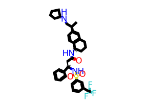 CC(CNC1CCCC1)c1ccc2c(c1)CCC[C@H]2NC(=O)C[C@@H](NS(=O)(=O)c1cccc(C(F)(F)F)c1)c1ccccc1